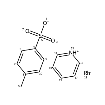 Cc1ccc(S(=O)(=O)[O-])cc1.[Rh].c1cc[nH+]cc1